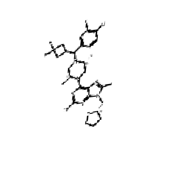 Cc1nc2c(N3C[C@@H](C)N(C(c4ccc(Cl)c(F)c4)C4CC(F)(F)C4)C[C@@H]3C)nc(Cl)nc2n1C[C@@H]1CCCO1